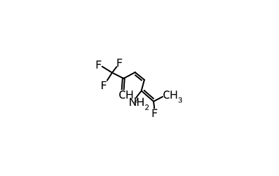 C=C(/C=C\C(N)=C(/C)F)C(F)(F)F